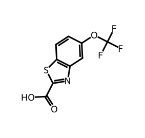 O=C(O)c1nc2cc(OC(F)(F)F)ccc2s1